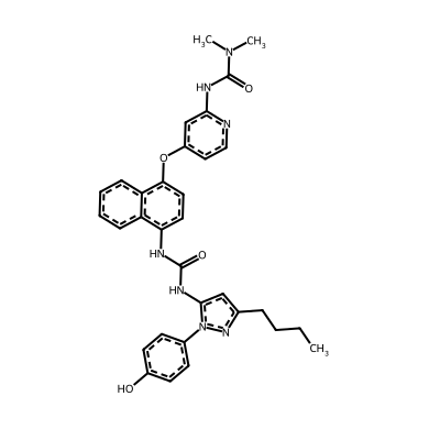 CCCCc1cc(NC(=O)Nc2ccc(Oc3ccnc(NC(=O)N(C)C)c3)c3ccccc23)n(-c2ccc(O)cc2)n1